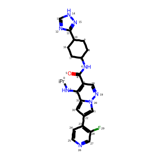 CC(C)Nc1c(C(=O)NC2CCC(c3nc[nH]n3)CC2)cnn2cc(-c3ccncc3F)cc12